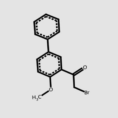 COc1ccc(-c2ccccc2)cc1C(=O)CBr